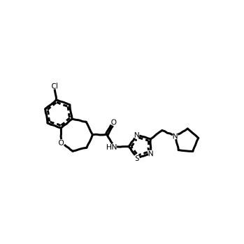 O=C(Nc1nc(CN2CCCC2)ns1)C1CCOc2ccc(Cl)cc2C1